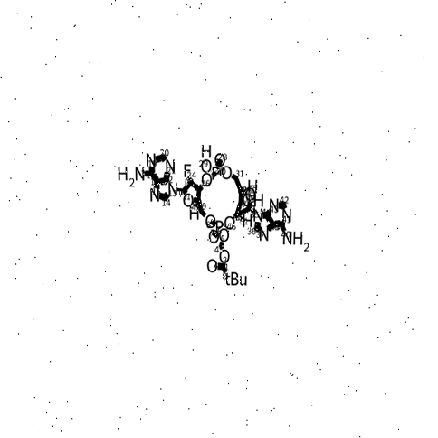 CC(C)(C)C(=O)OCOP1(=O)OC[C@H]2O[C@@H](n3cnc4c(N)ncnc43)[C@@H](F)C2OP(=O)(O)OC[C@H]2O[C@@H](n3cnc4c(N)ncnc43)[C@@H](O1)C2O